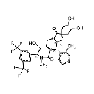 Cc1ccccc1[C@H]1[C@@H]2CC(CCO)(CCO)C(=O)N2CCN1C(=O)N(C)[C@H](CO)c1cc(C(F)(F)F)cc(C(F)(F)F)c1